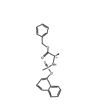 C[C@@H](NP(C)(=S)Oc1cccc2ccccc12)C(=O)OCc1ccccc1